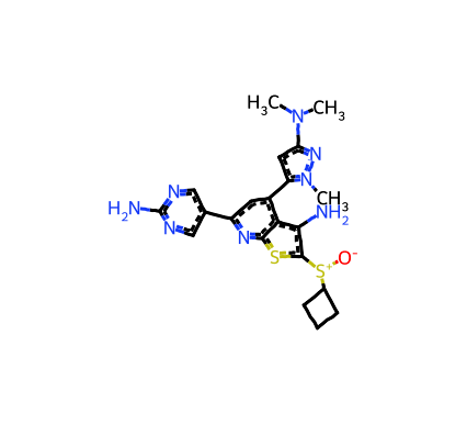 CN(C)c1cc(-c2cc(-c3cnc(N)nc3)nc3sc([S+]([O-])C4CCC4)c(N)c23)n(C)n1